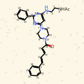 CC(=O)NCCNc1cc(N2CCN(C(=O)C=CC=Cc3ccccc3)CC2)nc(-c2ccccc2)n1